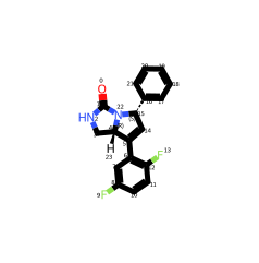 O=C1NC[C@H]2C(c3cc(F)ccc3F)=C[C@@H](c3ccccc3)N12